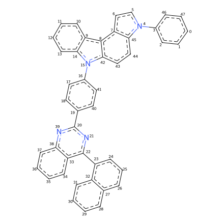 c1ccc(-n2ccc3c4c5ccccc5n(-c5ccc(-c6nc(-c7cccc8ccccc78)c7ccccc7n6)cc5)c4ccc32)cc1